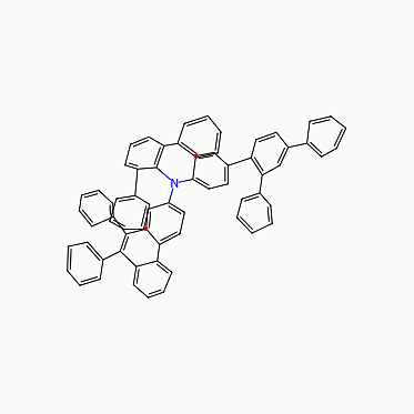 c1ccc(-c2ccc(-c3ccc(N(c4ccc5c(c4)c(-c4ccccc4)c(-c4ccccc4)c4ccccc45)c4c(-c5ccccc5)cccc4-c4ccccc4)cc3)c(-c3ccccc3)c2)cc1